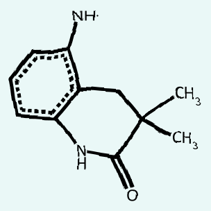 CC1(C)Cc2c([NH])cccc2NC1=O